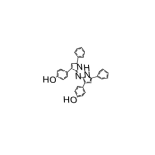 Oc1ccc(C2=CC(c3ccccc3)=NC2=Nc2[nH]c(-c3ccccc3)cc2-c2ccc(O)cc2)cc1